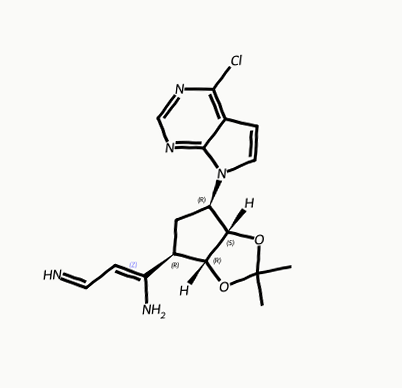 CC1(C)O[C@@H]2[C@H](O1)[C@@H](/C(N)=C/C=N)C[C@H]2n1ccc2c(Cl)ncnc21